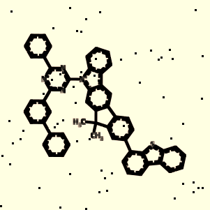 CC1(C)c2cc(-c3cccc4c3sc3ccccc34)ccc2-c2cc3c4ccccc4n(-c4nc(-c5ccccc5)nc(-c5cccc(-c6ccccc6)c5)n4)c3cc21